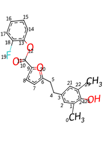 Cc1cc(CCc2ccc(C(=O)Oc3ccccc3F)o2)cc(C)c1O